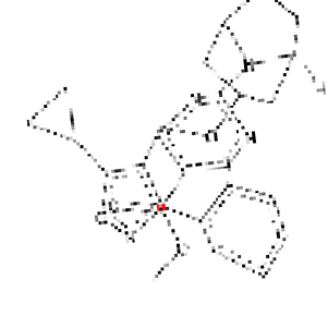 COC(=O)c1cnc(N2C3CC[C@H]2CC(OCc2c(-c4ccccc4C)noc2C2CC2)C3)nc1